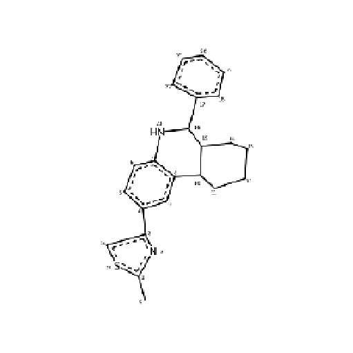 Cc1nc(-c2ccc3c(c2)C2CCCCC2C(c2ccccc2)N3)cs1